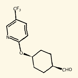 O=C[C@H]1CC[C@@H](Oc2ccc(C(F)(F)F)cn2)CC1